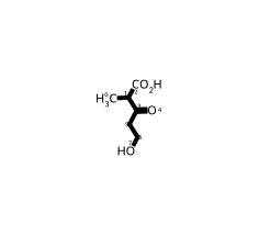 CC(C(=O)O)C(=O)CCO